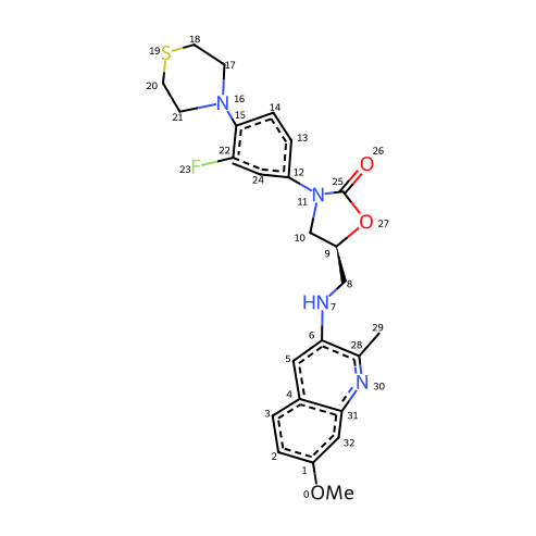 COc1ccc2cc(NC[C@H]3CN(c4ccc(N5CCSCC5)c(F)c4)C(=O)O3)c(C)nc2c1